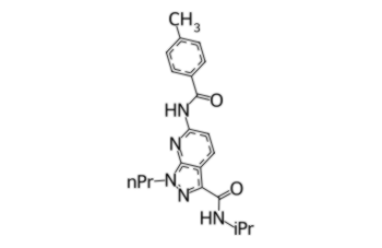 CCCn1nc(C(=O)NC(C)C)c2ccc(NC(=O)c3ccc(C)cc3)nc21